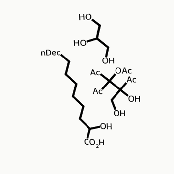 CC(=O)OC(C(C)=O)(C(C)=O)C(O)(CO)C(C)=O.CCCCCCCCCCCCCCCCC(O)C(=O)O.OCC(O)CO